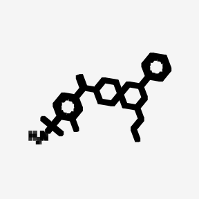 C=C(c1ccc(C(C)(C)N)c(C)c1)C1CCC2(CC1)CC(CCC)CC(c1ccccc1)C2